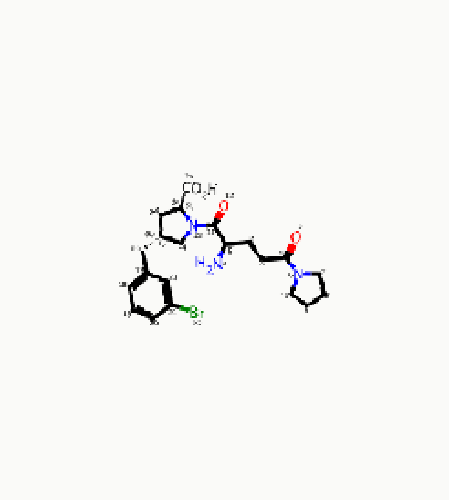 NC(CCC(=O)N1CCCC1)C(=O)N1C[C@H](Cc2cccc(Br)c2)C[C@H]1C(=O)O